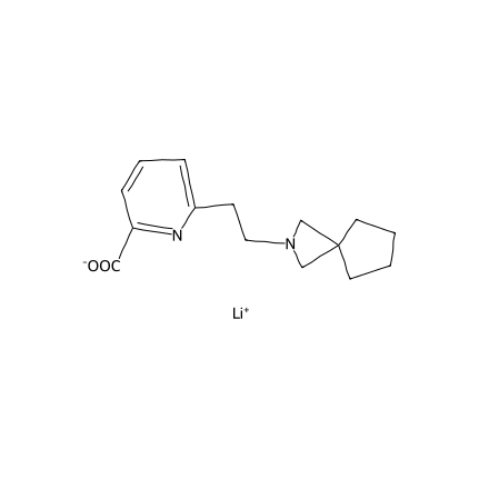 O=C([O-])c1cccc(CCN2CC3(CCCC3)C2)n1.[Li+]